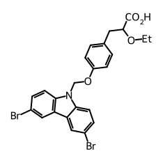 CCOC(Cc1ccc(OCn2c3ccc(Br)cc3c3cc(Br)ccc32)cc1)C(=O)O